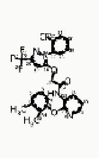 Cc1cccc(Oc2ncccc2NC(=O)COc2cc(C(F)(F)F)nn2-c2ccccc2Cl)c1C